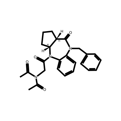 CC(=O)N(CC(=O)N1c2ccccc2N(Cc2ccccc2)C(=O)[C@H]2CCC[C@H]21)C(C)=O